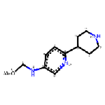 COCNc1ccc(C2CCNCC2)nc1